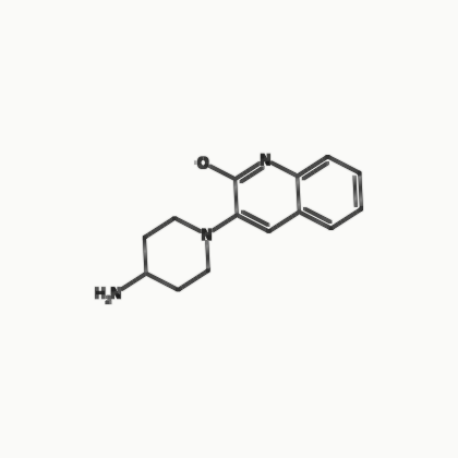 NC1CCN(c2cc3ccccc3nc2[O])CC1